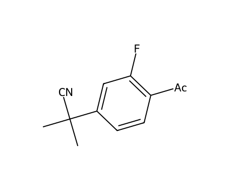 CC(=O)c1ccc(C(C)(C)C#N)cc1F